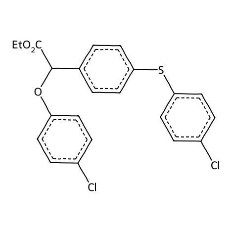 CCOC(=O)C(Oc1ccc(Cl)cc1)c1ccc(Sc2ccc(Cl)cc2)cc1